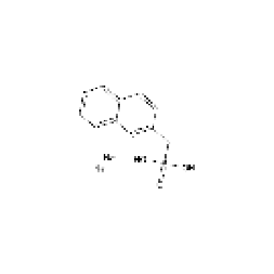 O=P(O)(O)Cc1ccc2ccccc2n1.[Na].[Na]